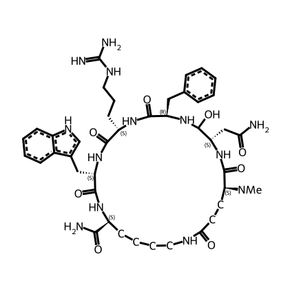 CN[C@H]1CCC(=O)NCCCC[C@@H](C(N)=O)NC(=O)[C@H](Cc2c[nH]c3ccccc23)NC(=O)[C@H](CCCNC(=N)N)NC(=O)[C@@H](Cc2ccccc2)NC(O)[C@H](CC(N)=O)NC1=O